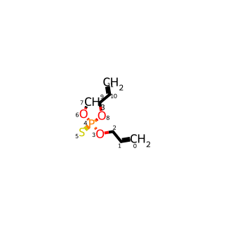 C=CCOP(=S)(OC)OCC=C